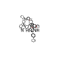 CC1=Cc2c(n(C3CC(N4C5=C(CC6C(=C5)N(c5ccccc5)C5CCC=CC65)C5C=CC=CC54)=C(C#N)C=C3C3NC(C4=CC=CCC4)NC(c4ccc(C5C=CC=CC5)cc4)N3)c3ccc(C)cc23)CC1